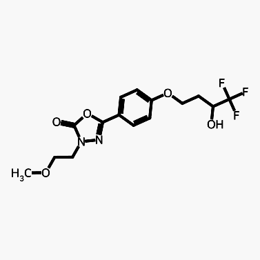 COCCn1nc(-c2ccc(OCCC(O)C(F)(F)F)cc2)oc1=O